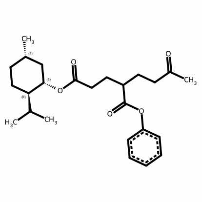 CC(=O)CCC(CCC(=O)O[C@H]1C[C@@H](C)CC[C@@H]1C(C)C)C(=O)Oc1ccccc1